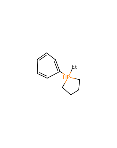 CC[PH]1(c2ccccc2)CCCC1